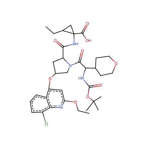 CCOc1cc(OC2CC(C(=O)NC3(C(=O)O)CC3CC)N(C(=O)C(NC(=O)OC(C)(C)C)C3CCOCC3)C2)c2cccc(Cl)c2n1